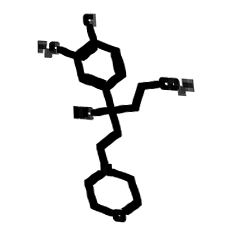 N#CC(CCC(=O)O)(CCN1CCOCC1)c1ccc(Cl)c(C(F)(F)F)c1